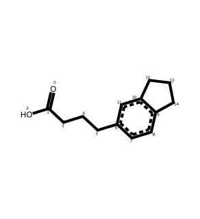 O=C(O)CCCc1ccc2c(c1)C[CH]C2